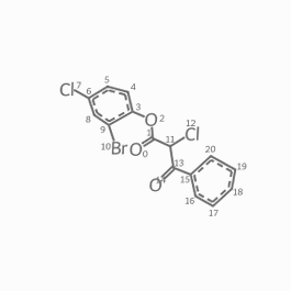 O=C(Oc1ccc(Cl)cc1Br)C(Cl)C(=O)c1ccccc1